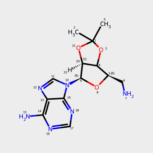 CC1(C)OC2[C@@H](CN)O[C@@H](n3cnc4c(N)ncnc43)[C@H]2O1